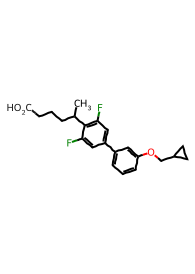 CC(CCCC(=O)O)c1c(F)cc(-c2cccc(OCC3CC3)c2)cc1F